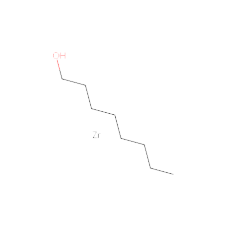 CCCCCCCCO.[Zr]